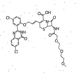 COCCOCCOCC(=O)N[C@@H]1C(=O)N2C(C(=O)O)=C(/C=C/COc3ccc(Cl)cc3-c3nc4ccc(Cl)cc4c(=O)[nH]3)CSC12